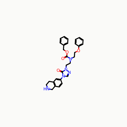 O=C(OCc1ccccc1)N(CCOc1ccccc1)CCn1ncn(-c2ccc3c(c2)CCNC3)c1=O